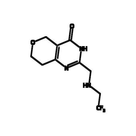 O=c1[nH]c(CNCC(F)(F)F)nc2c1COCC2